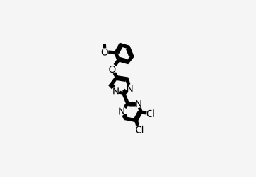 COc1ccccc1Oc1cnc(-c2ncc(Cl)c(Cl)n2)nc1